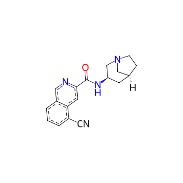 N#Cc1cccc2cnc(C(=O)N[C@@H]3C[C@@H]4CCN(C4)C3)cc12